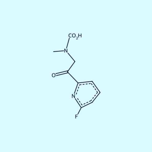 CN(CC(=O)c1cccc(F)n1)C(=O)O